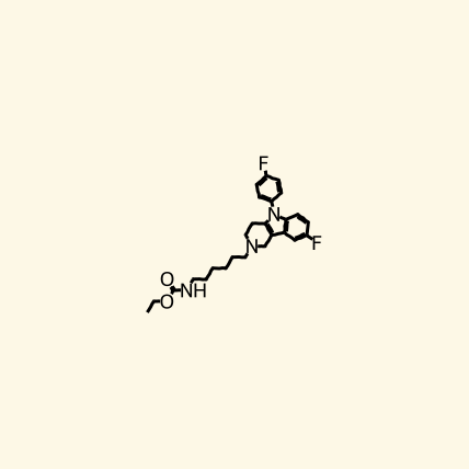 CCOC(=O)NCCCCCCN1CCc2c(c3cc(F)ccc3n2-c2ccc(F)cc2)C1